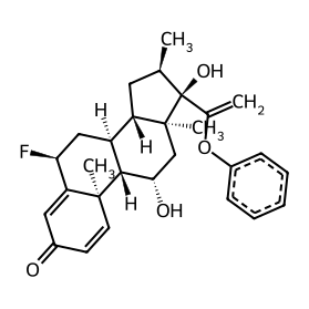 C=C(Oc1ccccc1)[C@@]1(O)[C@H](C)C[C@H]2[C@@H]3C[C@H](F)C4=CC(=O)C=C[C@]4(C)[C@H]3[C@@H](O)C[C@@]21C